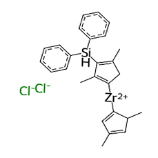 CC1=CC(C)[C]([Zr+2][C]2=C(C)C([SiH](c3ccccc3)c3ccccc3)=C(C)C2)=C1.[Cl-].[Cl-]